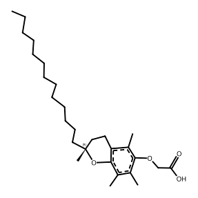 CCCCCCCCCCCCC[C@]1(C)CCc2c(C)c(OCC(=O)O)c(C)c(C)c2O1